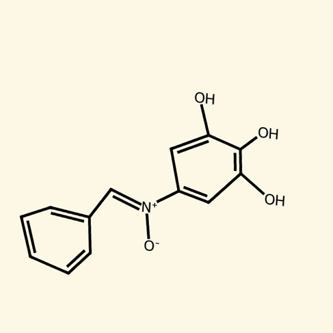 [O-][N+](=Cc1ccccc1)c1cc(O)c(O)c(O)c1